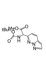 COC(=O)C(NC(=O)OC(C)(C)C)c1ccc2ccnn2n1